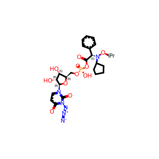 CC(C)ON(C1CCCC1)[C@H](C(=O)OP(=O)(O)OC[C@H]1O[C@@H](n2ccc(=O)n(N=[N+]=[N-])c2=O)[C@H](O)[C@@H]1O)c1ccccc1